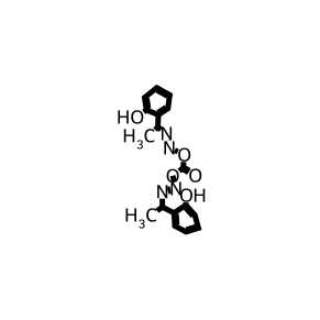 CC(N=NOC(=O)ON=NC(C)c1ccccc1O)c1ccccc1O